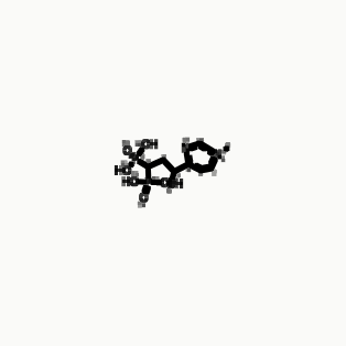 C[n+]1ccc(C(O)CC(P(=O)(O)O)P(=O)(O)O)nc1